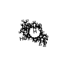 C=CC(=O)N(C)CC(=O)N(C)[C@H](C(=O)N[C@H]1Cc2cc(O)cc(c2)-c2ccc3c(c2)c(c(-c2cccnc2COC)n3CC)CC(C)(C)COC(=O)[C@@H]2CCCN(N2)C1=O)C(C)C